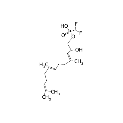 CC(C)=CCCC(C)=CCCC(C)=CC(O)COP(=O)(O)C(F)F